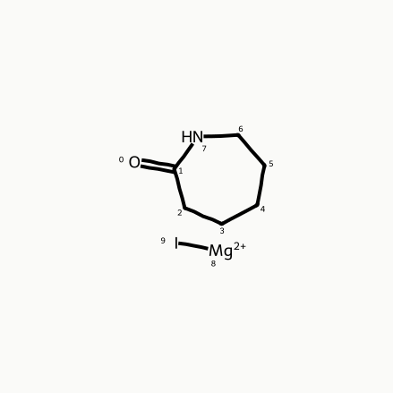 O=C1CCCCCN1.[Mg+2][I]